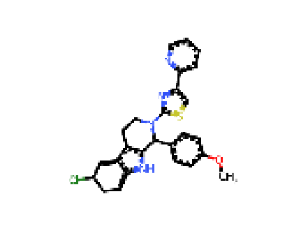 COc1ccc(C2c3[nH]c4c(c3CCN2c2nc(-c3ccccn3)cs2)=CC(Cl)CC=4)cc1